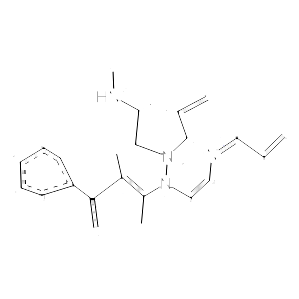 C=C/C=N\C=C/N(/C(C)=C(\C)C(=C)c1ccccc1)N(CC=C)CCNC